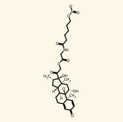 C[C@H]1C[C@H]2[C@@H]3CCC4=CC(=O)C=C[C@]4(C)[C@@]3(Cl)[C@@H](O)C[C@]2(C)[C@@]1(O)C(=O)COC(=O)CNC(=O)CCCCCO[N+](=O)[O-]